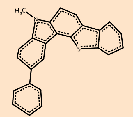 Cn1c2ccc(-c3ccccc3)cc2c2c3sc4ccccc4c3ccc21